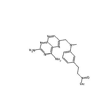 CN(Cc1cnc2nc(N)nc(N)c2n1)c1cccc(CCC(=O)O)c1